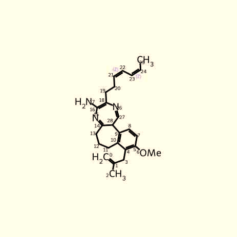 C=C(C)Cc1c(OC)ccc2c1CCCC1=NC(N)=C(CC/C=C\C=C/C)N=CC12